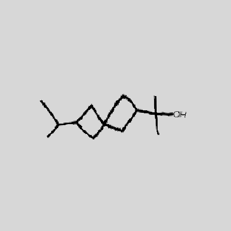 CC(C)C1CC2(C1)CC(C(C)(C)O)C2